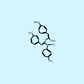 COC1=CCC=C(/C=C(/C=O)S/C(=N\C2=CC=CC(C)C=C2)N(C)C2=CC=C(C)C=CC2)C=C1